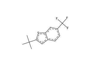 CC(C)(C)c1cc2ccc(C(F)(F)F)cc2s1